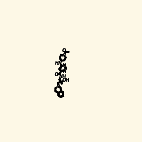 CC(=O)N1CCC(Nc2cc(C(=O)NCC(C)(O)CN3CCc4ccccc4C3)ncn2)CC1